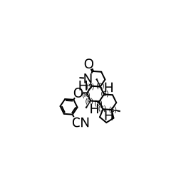 C[C@H]1[C@@H](Oc2cccc(C#N)c2)[C@H]2N(C)C(=O)CC[C@]2(C)[C@H]2CC[C@]3(C)CCC[C@H]3[C@H]12